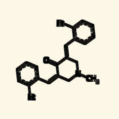 CCc1ccccc1C=C1CN(C)CC(=Cc2ccccc2CC)C1=O